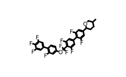 CC1CCC(c2cc(F)c(-c3cc(F)c(C(F)(F)Oc4ccc(-c5cc(F)c(F)c(F)c5)c(F)c4)c(F)c3)c(F)c2)OC1